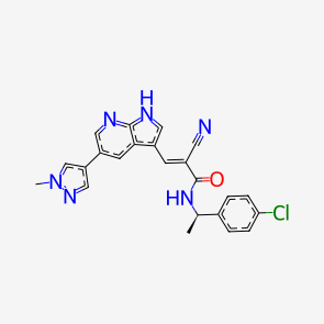 C[C@@H](NC(=O)/C(C#N)=C/c1c[nH]c2ncc(-c3cnn(C)c3)cc12)c1ccc(Cl)cc1